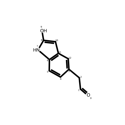 O=CCc1ccc2[nH]c(O)cc2c1